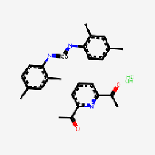 CC(=O)c1cccc(C(C)=O)n1.Cc1ccc([N]=[Co]=[N]c2ccc(C)cc2C)c(C)c1.Cl.Cl